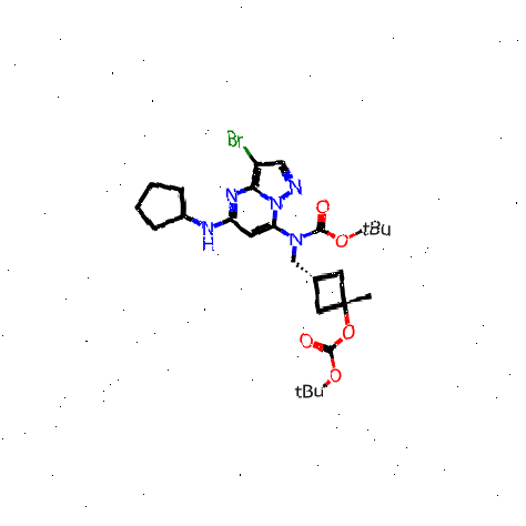 CC(C)(C)OC(=O)O[C@]1(C)C[C@H](CN(C(=O)OC(C)(C)C)c2cc(NC3CCCC3)nc3c(Br)cnn23)C1